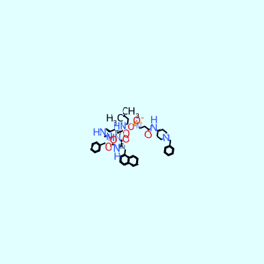 CC(C)CC(NC(=O)[C@@H](Cc1c[nH]cn1)NC(=O)[C@H](Cc1cccc2ccccc12)NC(=O)OCc1ccccc1)O/[P+]([O-])=C/CC(=O)NC1CCN(Cc2ccccc2)CC1